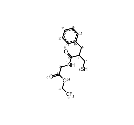 O=C(CNC(=O)C(CS)Cc1ccccc1)OCC(F)(F)F